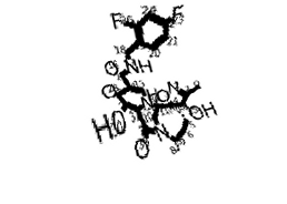 CC1=NO[C@@]2(CC[C@H](C)N3C[C@H]2n2cc(C(=O)NCc4ccc(F)cc4F)c(=O)c(O)c2C3=O)[C@H]1O